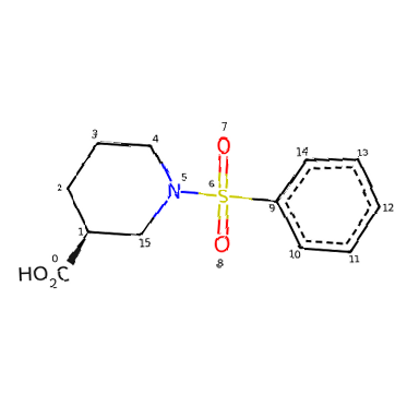 O=C(O)[C@H]1CCCN(S(=O)(=O)c2ccccc2)C1